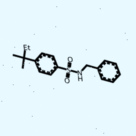 CCC(C)(C)c1ccc(S(=O)(=O)NCc2ccccc2)cc1